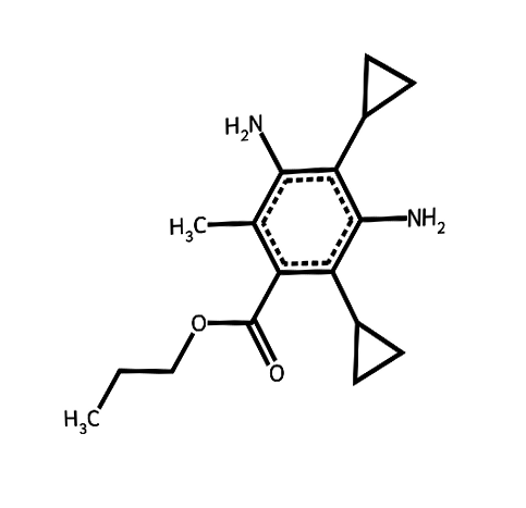 CCCOC(=O)c1c(C)c(N)c(C2CC2)c(N)c1C1CC1